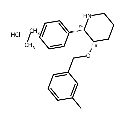 CC.Cl.Ic1cccc(CO[C@H]2CCCN[C@H]2c2ccccc2)c1